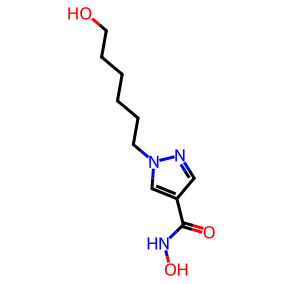 O=C(NO)c1cnn(CCCCCCO)c1